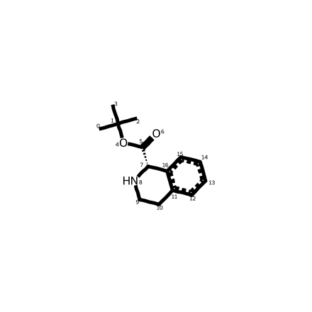 CC(C)(C)OC(=O)[C@H]1NCCc2ccccc21